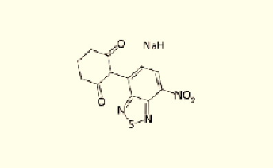 O=C1CCCC(=O)C1c1ccc([N+](=O)[O-])c2nsnc12.[NaH]